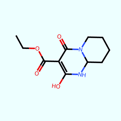 CCOC(=O)C1=C(O)NC2CCCCN2C1=O